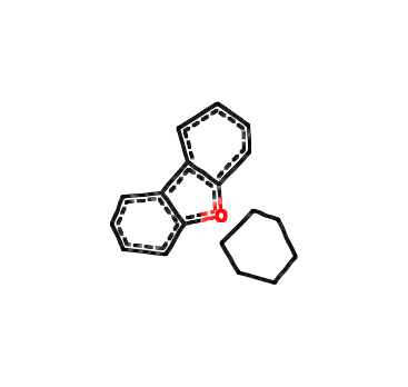 C1CCCCC1.c1ccc2c(c1)oc1ccccc12